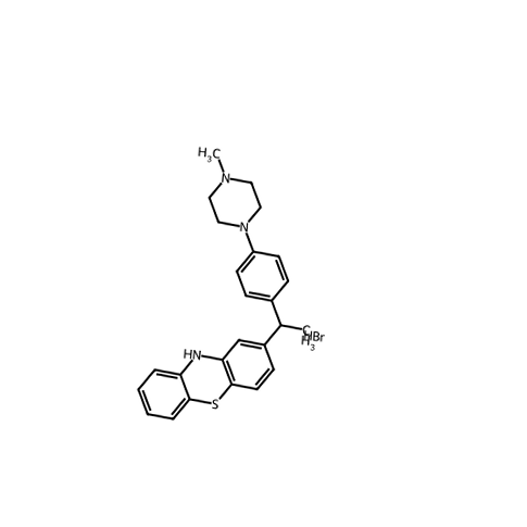 Br.CC(c1ccc(N2CCN(C)CC2)cc1)c1ccc2c(c1)Nc1ccccc1S2